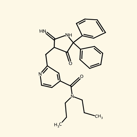 CCCN(CCC)C(=O)c1ccnc(CC2C(=N)NC(c3ccccc3)(c3ccccc3)C2=O)c1